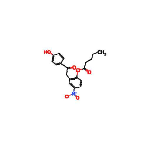 CCCCC(=O)Oc1ccc([N+](=O)[O-])cc1CC(=O)c1ccc(O)cc1